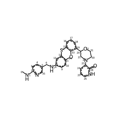 CNc1ccc(CNc2ccc3c(c2)Sc2cccc(C4CN(c5ccc[nH]c5=O)CCO4)c2O3)cn1